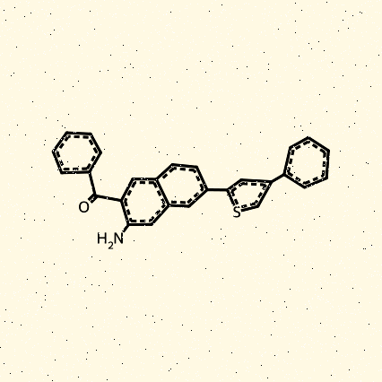 Nc1cc2cc(-c3cc(-c4ccccc4)cs3)ccc2cc1C(=O)c1ccccc1